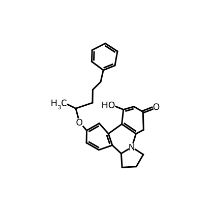 CC(CCCc1ccccc1)Oc1ccc2c(c1)C1=C(CC(=O)C=C1O)N1CCCC21